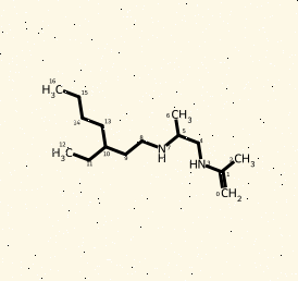 C=C(C)NCC(C)NCCC(CC)CCCC